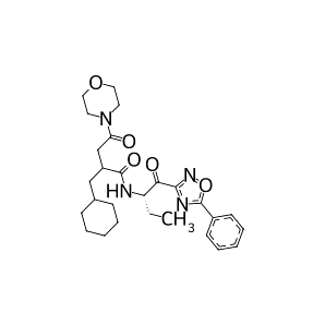 CC[C@H](NC(=O)C(CC(=O)N1CCOCC1)CC1CCCCC1)C(=O)c1noc(-c2ccccc2)n1